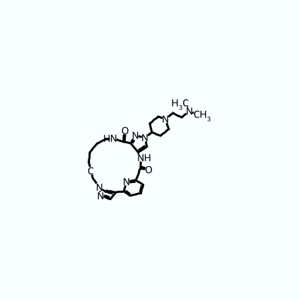 CN(C)CCN1CCC(n2cc3c(n2)C(=O)NCCCCCCn2cc(cn2)-c2cccc(n2)C(=O)N3)CC1